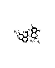 Cc1cc2c(N(C(N)=O)[C@@H]3CC(C)(C)Oc4c(F)cc(F)cc43)cccc2cn1